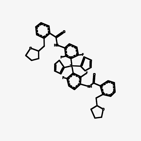 O=C(Nc1ccc(F)[c]([Ti]([C]2=CC=CC2)([C]2=CC=CC2)[c]2c(F)ccc(NC(=O)c3ccccc3CC3CCCO3)c2F)c1F)c1ccccc1CC1CCCO1